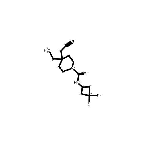 CCC1(CC#N)CCN(C(=O)NC2CC(F)(F)C2)CC1